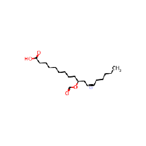 CCCCC/C=C\CC(CCCCCCCCC(=O)O)OC=O